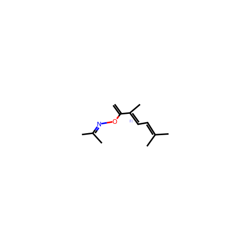 C=C(ON=C(C)C)/C(C)=C/C=C(C)C